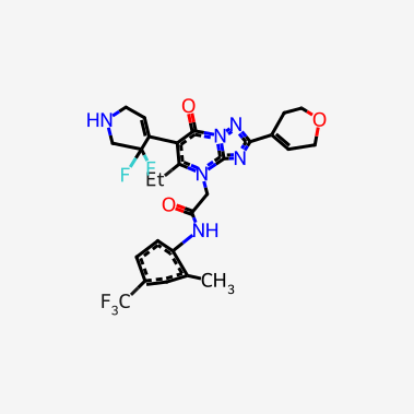 CCc1c(C2=CCNCC2(F)F)c(=O)n2nc(C3=CCOCC3)nc2n1CC(=O)Nc1ccc(C(F)(F)F)cc1C